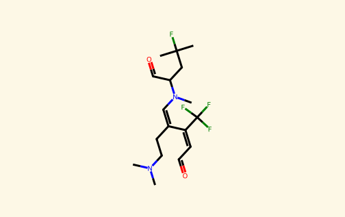 CN(C)CCC(=C/N(C)C(C=O)CC(C)(C)F)/C(=C\C=O)C(F)(F)F